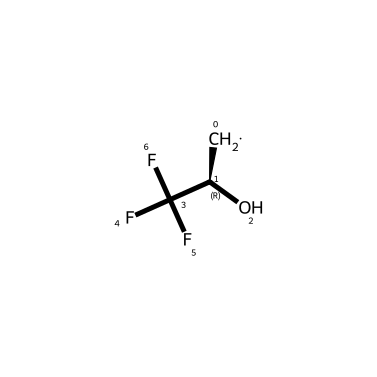 [CH2][C@@H](O)C(F)(F)F